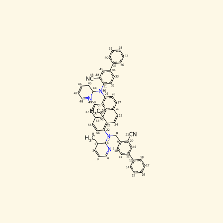 CC1C=CC=NC1N(Cc1ccc(-c2ccccc2)cc1C#N)C1=C2C=Cc3ccc(N(c4ccc(-c5ccccc5)cc4C#N)C4CC=CC=N4)c4c3C2(C)C(C=C1)C=C4